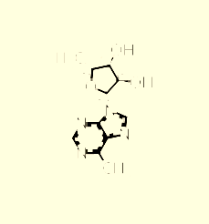 Cc1ncnc2c1ncn2[C@@H]1O[C@H](C)[C@@H](O)[C@H]1O